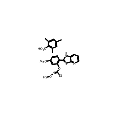 CCC(=NOS)Oc1cc(OC)ccc1-c1nc2ncccc2[nH]1.Cc1cc(C)c(S(=O)(=O)O)c(C)c1